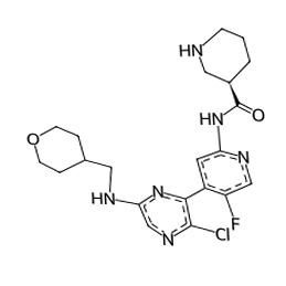 O=C(Nc1cc(-c2nc(NCC3CCOCC3)cnc2Cl)c(F)cn1)[C@@H]1CCCNC1